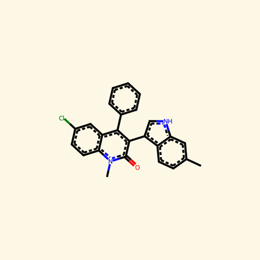 Cc1ccc2c(-c3c(-c4ccccc4)c4cc(Cl)ccc4n(C)c3=O)c[nH]c2c1